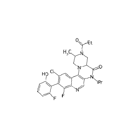 CCC(=O)N1CC2C(=O)N(C(C)C)c3cnc4c(F)c(-c5c(O)cccc5F)c(Cl)cc4c3N2CC1C